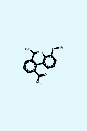 CCCOc1cccc(-c2c(C(N)=O)cccc2C(N)=O)c1F